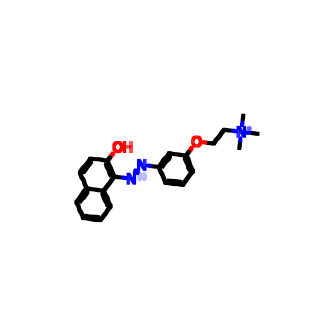 C[N+](C)(C)CCOc1cccc(/N=N/c2c(O)ccc3ccccc23)c1